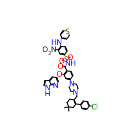 CC1(C)CCC(CN2CCN(c3ccc(C(=O)NS(=O)(=O)c4ccc(NC5=CCSC=C5)c([N+](=O)[O-])c4)c(Oc4cnc5[nH]ccc5c4)c3)CC2)=C(c2ccc(Cl)cc2)C1